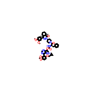 COc1ccc(C2=NN(C3CCN(C(=O)[C@@H](Cc4ccccc4)NC(=O)Oc4c[nH]c5c(-c6c(OCC7CC7)ccc7c6OCO7)ncnc45)CC3)C(=O)[C@H]3CCCC[C@@H]23)cc1OC